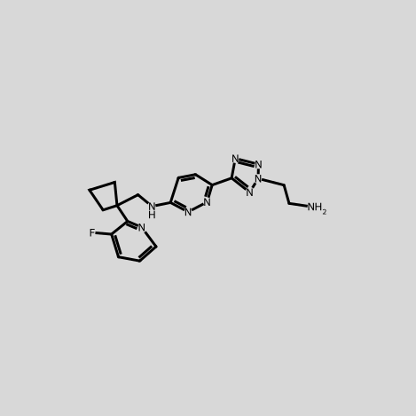 NCCn1nnc(-c2ccc(NCC3(c4ncccc4F)CCC3)nn2)n1